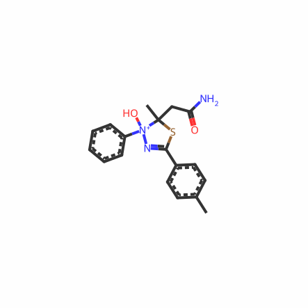 Cc1ccc(C2=N[N+](O)(c3ccccc3)C(C)(CC(N)=O)S2)cc1